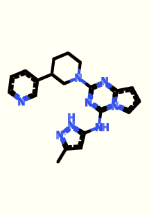 Cc1cc(Nc2nc(N3CCCC(c4cccnc4)C3)nc3cccn23)[nH]n1